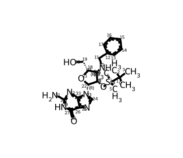 CC(C)(C)[Si](C)(C)O[C@@H]1[C@H](NCc2ccccc2)[C@@H](CO)O[C@H]1n1cnc2c(=O)[nH]c(N)nc21